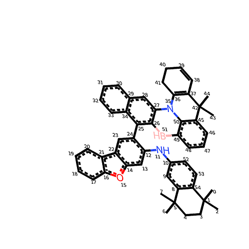 CC1(C)CCC(C)(C)c2cc(Nc3cc4oc5ccccc5c4cc3-c3c4c(cc5ccccc35)N3C5=C(C=CCC5)C(C)(C)c5cccc(c53)B4)ccc21